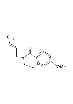 CC=CCC1CCc2cc(OC)ccc2C1=O